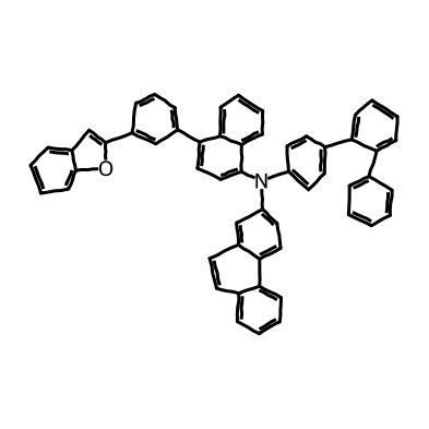 c1ccc(-c2ccccc2-c2ccc(N(c3ccc4c(ccc5ccccc54)c3)c3ccc(-c4cccc(-c5cc6ccccc6o5)c4)c4ccccc34)cc2)cc1